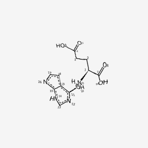 N[C@@H](CCC(=O)O)C(=O)O.Oc1nc[nH]c2nccc1-2